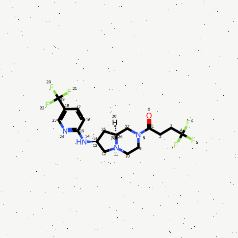 O=C(CCC(F)(F)F)N1CCN2C[C@@H](Nc3ccc(C(F)(F)F)cn3)C[C@H]2C1